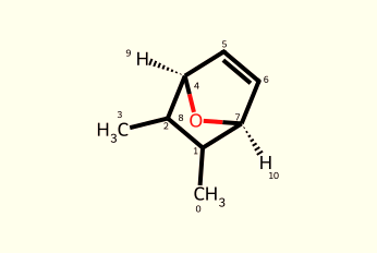 CC1C(C)[C@H]2C=C[C@@H]1O2